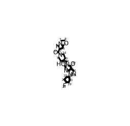 O=C(c1cc2n(n1)CCO2)N1CCC(O)(Cn2cnc3c(cnn3-c3ccc(F)cc3)c2=O)CC1